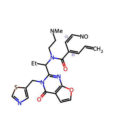 C=C/C=C(\C=C/N=O)C(=O)N(CCNC)C(CC)c1nc2occc2c(=O)n1Cc1cncs1